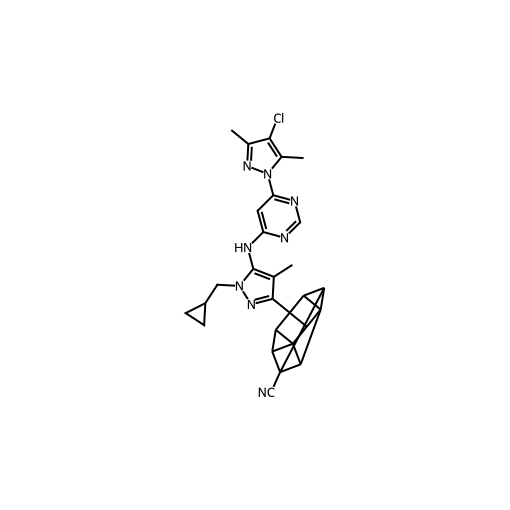 Cc1nn(-c2cc(Nc3c(C)c(C45C6C7C8(C#N)C9C4C94C8C76C54)nn3CC3CC3)ncn2)c(C)c1Cl